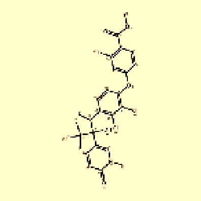 COC(=O)c1ccc(Oc2ccc(C(C)C(O)(c3ccc(=O)n(C)c3)C(F)(F)F)c(Cl)c2Cl)cc1F